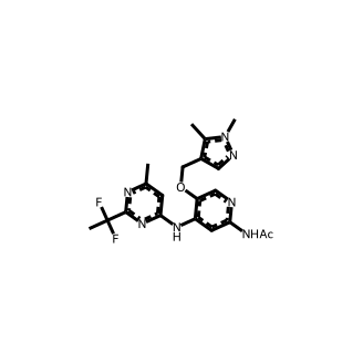 CC(=O)Nc1cc(Nc2cc(C)nc(C(C)(F)F)n2)c(OCc2cnn(C)c2C)cn1